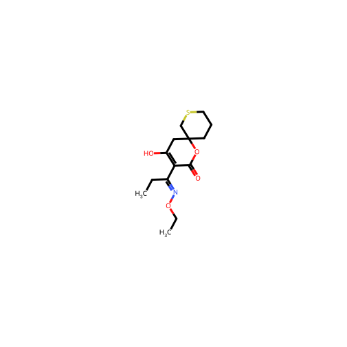 CCON=C(CC)C1=C(O)CC2(CCCSC2)OC1=O